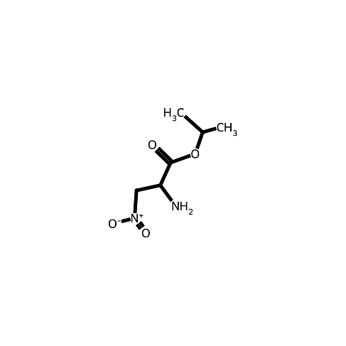 CC(C)OC(=O)C(N)C[N+](=O)[O-]